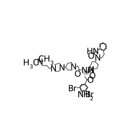 CN(C)CCCN1CCN(C2CCN(CC(=O)N[C@@H](CC(=O)c3cc(Br)c(N)c(Br)c3)C(=O)N3CCC(N4CCc5ccccc5NC4=O)CC3)CC2)CC1